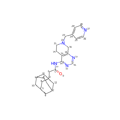 O=C(CC12CC3CC(CC(C3)C1)C2)Nc1ncnc2c1CCN(Cc1ccncc1)C2